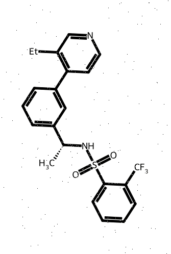 CCc1cnccc1-c1cccc([C@@H](C)NS(=O)(=O)c2ccccc2C(F)(F)F)c1